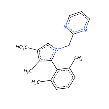 Cc1cccc(C)c1-c1c(C)c(C(=O)O)cn1Cc1ncccn1